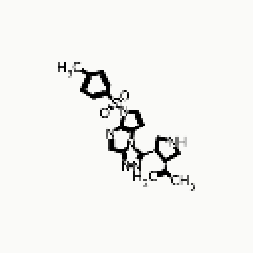 C=C(C)[C@@H]1CNC[C@@H]1c1nnc2cnc3c(ccn3S(=O)(=O)c3ccc(C)cc3)n12